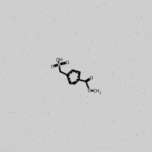 COC(=O)c1ccc(CS(=O)(=O)O)cc1